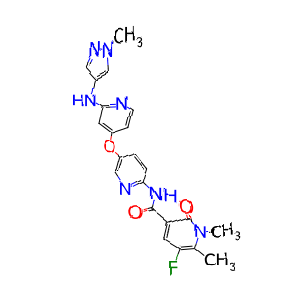 Cc1c(F)cc(C(=O)Nc2ccc(Oc3ccnc(Nc4cnn(C)c4)c3)cn2)c(=O)n1C